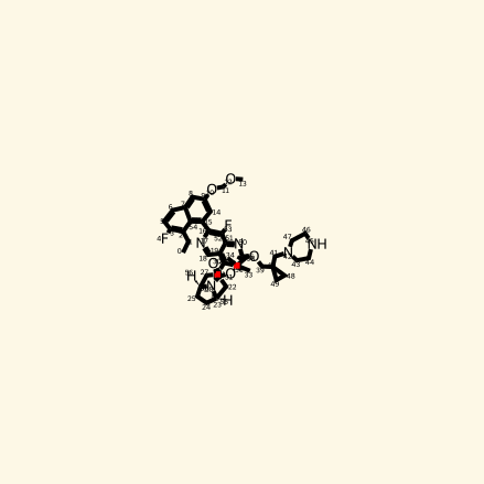 CCc1c(F)ccc2cc(OCOC)cc(-c3ncc4c(N5C[C@H]6CC[C@@H](C5)N6C(=O)OC(C)(C)C)nc(OCC5(CN6CCNCC6)CC5)nc4c3F)c12